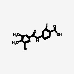 Cc1cc(C(=O)Nc2ccc(C(=O)O)c(F)c2)cc(Br)c1C